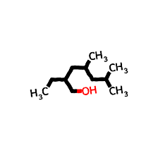 CCC(CO)CC(C)CC(C)C